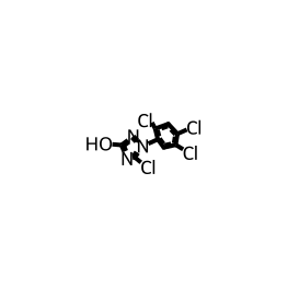 Oc1nc(Cl)n(-c2cc(Cl)c(Cl)cc2Cl)n1